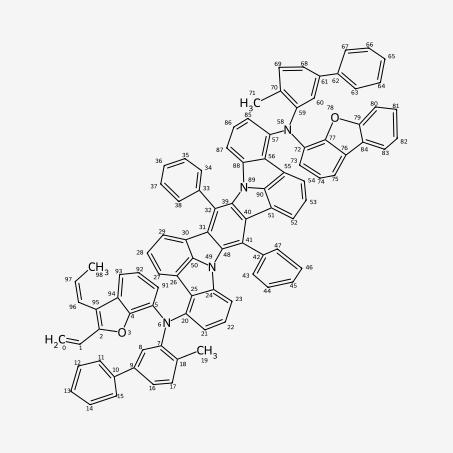 C=Cc1oc2c(N(c3cc(-c4ccccc4)ccc3C)c3cccc4c3c3cccc5c6c(-c7ccccc7)c7c(c(-c8ccccc8)c6n4c35)c3cccc4c5c(N(c6cc(-c8ccccc8)ccc6C)c6cccc8c6oc6ccccc68)cccc5n7c43)cccc2c1/C=C\C